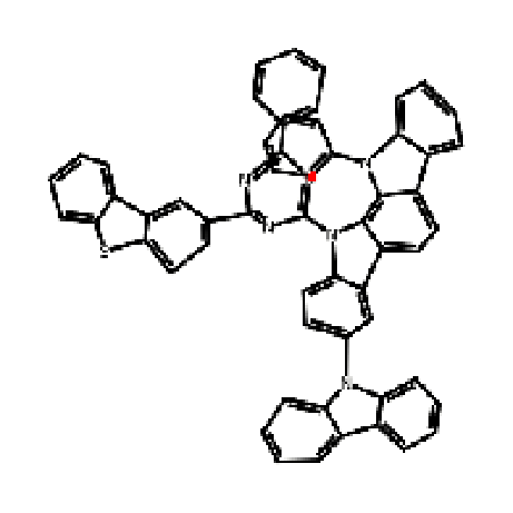 c1ccc(-c2nc(-c3ccc4sc5ccccc5c4c3)nc(-n3c4ccc(-n5c6ccccc6c6ccccc65)cc4c4ccc5c6ccccc6n(-c6ccccc6)c5c43)n2)cc1